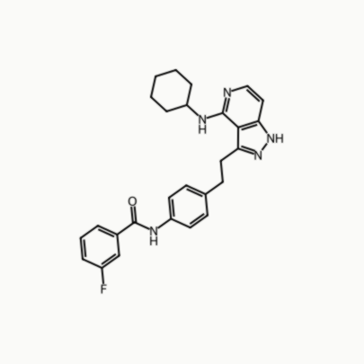 O=C(Nc1ccc(CCc2n[nH]c3ccnc(NC4CCCCC4)c23)cc1)c1cccc(F)c1